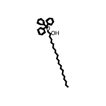 CCCCCCCCCCCCCCCCCCCCC(O)COC(c1ccccc1)(c1ccccc1)c1ccccc1